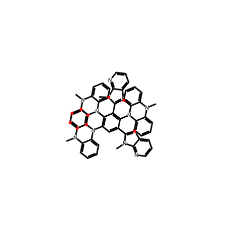 CN1c2ccccc2N(c2cc(-c3nc4cccnc4n3C)c(N3c4ccccc4N(C)c4ccccc43)c(-c3nc4cccnc4n3C)c2N2c3ccccc3N(C)c3ccccc32)c2ccccc21